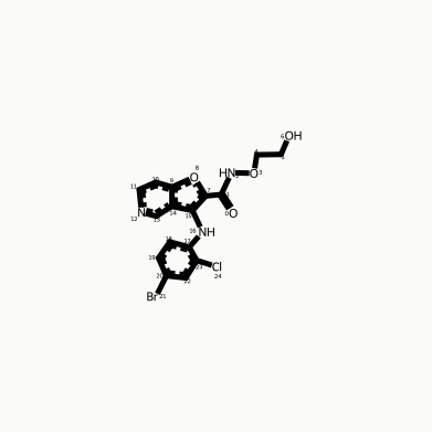 O=C(NOCCO)c1oc2ccncc2c1Nc1ccc(Br)cc1Cl